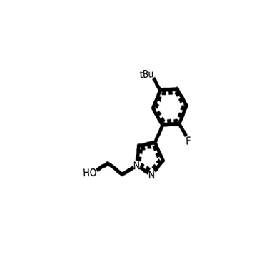 CC(C)(C)c1ccc(F)c(-c2cnn(CCO)c2)c1